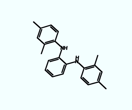 Cc1ccc(Nc2ccccc2Nc2ccc(C)cc2C)c(C)c1